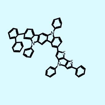 c1ccc(-c2cc3c(s2)c2sc(-c4ccc5c(c4)c4cc6c(cc4n5-c4ccccc4)c4ccc(-c5ccccc5-c5ccccc5)cc4n6-c4ccccc4)cc2n3-c2ccccc2)cc1